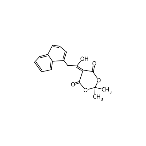 CC1(C)OC(=O)C(=C(O)Cc2cccc3ccccc23)C(=O)O1